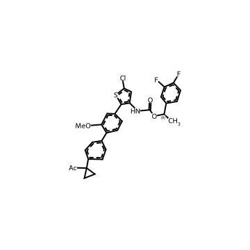 COc1cc(-c2sc(Cl)cc2NC(=O)O[C@H](C)c2ccc(F)c(F)c2)ccc1-c1ccc(C2(C(C)=O)CC2)cc1